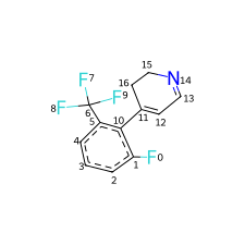 Fc1cccc(C(F)(F)F)c1C1=CC=NCC1